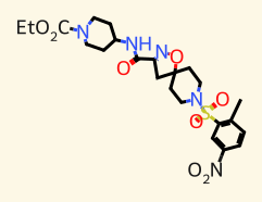 CCOC(=O)N1CCC(NC(=O)C2=NOC3(CCN(S(=O)(=O)c4cc([N+](=O)[O-])ccc4C)CC3)C2)CC1